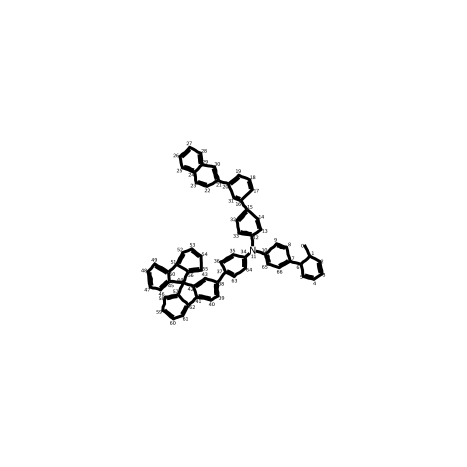 CC1C=CC=CC1c1ccc(N(c2ccc(-c3cccc(-c4ccc5ccccc5c4)c3)cc2)c2ccc(-c3ccc4c(c3)C3(c5ccccc5-c5ccccc53)c3ccccc3-4)cc2)cc1